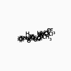 Cn1c(Nc2ccc(Cl)c(C(F)(F)F)c2)nc2cc(Oc3ccnc(C(=O)NCCN4CCCCC4)c3)ccc21